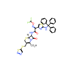 O=C(O)C1=C(CSc2cnns2)CS[C@H]2C(NC(=O)C(=NOC(F)F)c3csc(NC(c4ccccc4)(c4ccccc4)c4ccccc4)n3)C(=O)N12